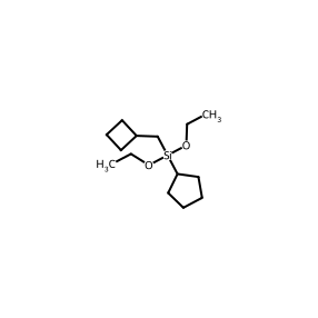 CCO[Si](CC1CCC1)(OCC)C1CCCC1